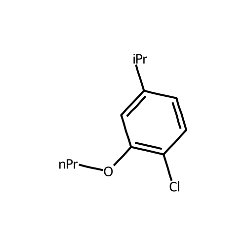 CCCOc1cc(C(C)C)ccc1Cl